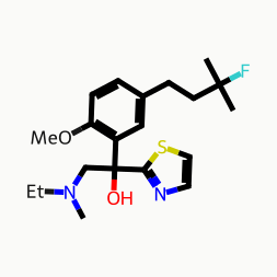 CCN(C)CC(O)(c1nccs1)c1cc(CCC(C)(C)F)ccc1OC